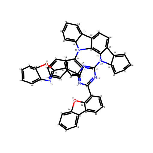 c1ccc(-c2nc(-c3cccc4c3oc3ccccc34)nc(-n3c4ccccc4c4ccc5c6ccccc6n(-c6cccc(-c7nc8ccccc8o7)c6)c5c43)n2)cc1